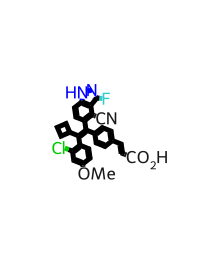 COc1ccc(C(=C(c2ccc(C=CC(=O)O)cc2)c2ccc3[nH]nc(F)c3c2C#N)C2CCC2)c(Cl)c1